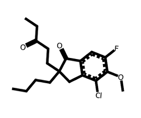 CCCCC1(CCC(=O)CC)Cc2c(cc(F)c(OC)c2Cl)C1=O